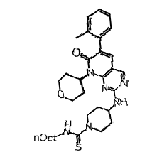 CCCCCCCCNC(=S)N1CCC(Nc2ncc3cc(-c4ccccc4C)c(=O)n(C4CCOCC4)c3n2)CC1